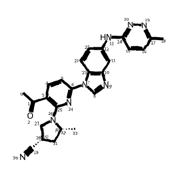 CC(=O)c1ccc(-n2cnc3cc(Nc4ccc(C)nn4)ccc32)nc1N1C[C@@H](C#N)C[C@H]1C